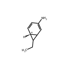 CCC1C2C=C(N)C=C[C@H]21